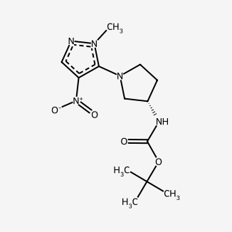 Cn1ncc([N+](=O)[O-])c1N1CC[C@H](NC(=O)OC(C)(C)C)C1